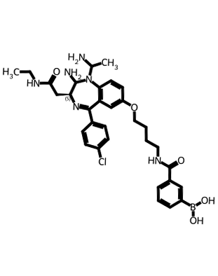 CCNC(=O)C[C@@H]1N=C(c2ccc(Cl)cc2)c2cc(OCCCCNC(=O)c3cccc(B(O)O)c3)ccc2N(C(C)N)C1N